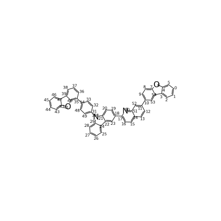 c1ccc2c(c1)oc1ccc(-c3ccc4ccc(-c5ccc6c(c5)c5ccccc5n6-c5ccc(-c6cccc7c6oc6ccccc67)cc5)nc4c3)cc12